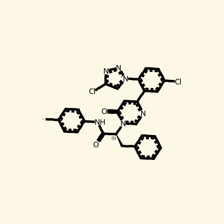 [CH2]c1ccc(NC(=O)[C@H](Cc2ccccc2)n2cnc(-c3cc(Cl)ccc3-n3cc(Cl)nn3)cc2=O)cc1